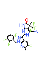 Cc1nc2c(cc1F)c(-c1nc(C#N)c3c(n1)NC(=O)C3(C)C(F)(F)F)nn2Cc1c(F)ccc(F)c1F